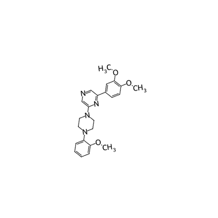 COc1ccc(-c2cncc(N3CCN(c4ccccc4OC)CC3)n2)cc1OC